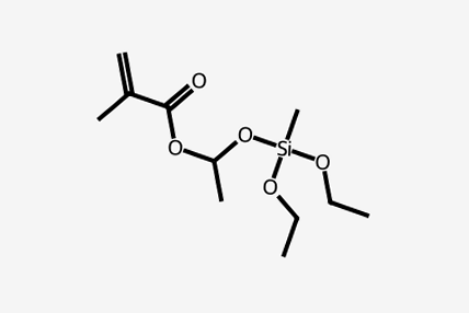 C=C(C)C(=O)OC(C)O[Si](C)(OCC)OCC